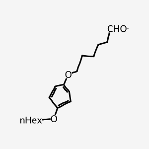 CCCCCCOc1ccc(OCCCCC[C]=O)cc1